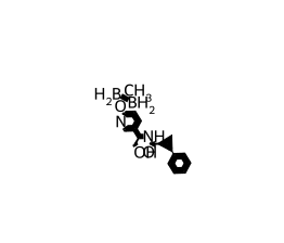 BC(B)(C)Oc1ccc([C@H](CO)NC(=O)[C@H]2C[C@@H]2c2ccccc2)cn1